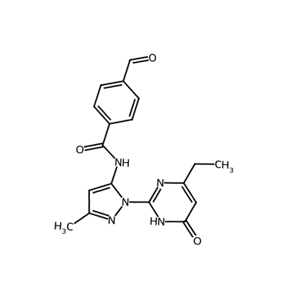 CCc1cc(=O)[nH]c(-n2nc(C)cc2NC(=O)c2ccc(C=O)cc2)n1